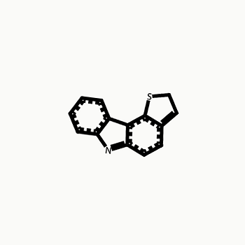 C1=c2ccc3c(c2SC1)-c1ccccc1N=3